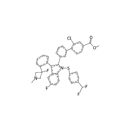 COC(=O)c1ccc(-c2cccc(-c3c(-c4ccccc4C4(F)CN(C)C4)c4cc(F)ccc4n3Sc3ccc(C(F)F)cc3)c2)c(Cl)c1